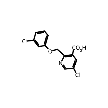 O=C(O)c1cc(Cl)cnc1COc1cccc(Cl)c1